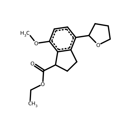 CCOC(=O)C1CCc2c(C3CCCO3)ccc(OC)c21